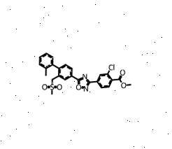 COC(=O)c1ccc(-c2noc(-c3ccc(-c4ccccc4C)c(CS(C)(=O)=O)c3)n2)cc1Cl